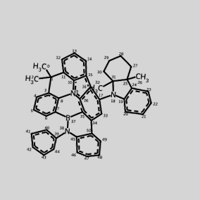 CC1(C)c2cccc3c2-n2c4c1cccc4c1c(N4c5ccccc5C5(C)CCCCC45C)cc4c(c12)B3N(c1ccccc1)c1ccccc1-4